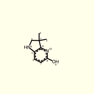 CC1(C)CNc2ccc(O)nc21